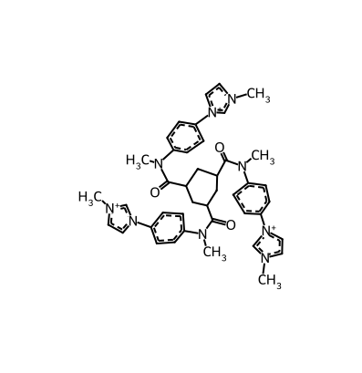 CN(C(=O)C1CC(C(=O)N(C)c2ccc(-[n+]3ccn(C)c3)cc2)CC(C(=O)N(C)c2ccc(-[n+]3ccn(C)c3)cc2)C1)c1ccc(-n2cc[n+](C)c2)cc1